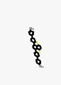 CC(C)(C)c1ccc(-c2ccc3c(c2)Sc2ccc4c5c(ccc-3c25)-c2ccc(-c3ccc(C(C)(C)C)cc3)cc2S4)cc1